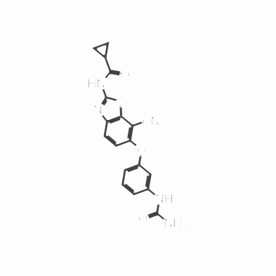 N#Cc1c(Oc2cccc(NC(N)=O)c2)ccc2nc(NC(=O)C3CC3)sc12